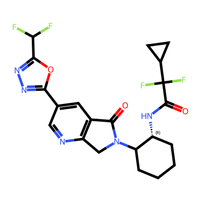 O=C1c2cc(-c3nnc(C(F)F)o3)cnc2CN1C1CCCC[C@H]1NC(=O)C(F)(F)C1CC1